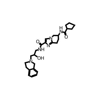 O=C(NCC(O)CN1CCc2ccccc2C1)c1cn2c(n1)CCC(NC(=O)C1CCCC1)C2